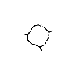 CC1CCCCCC(C)CCCC(C)CCC1